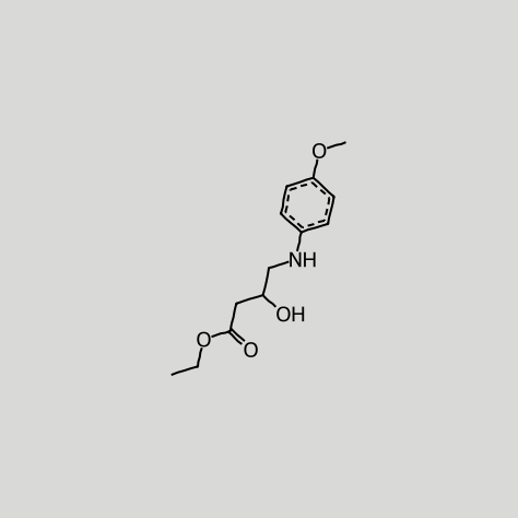 CCOC(=O)CC(O)CNc1ccc(OC)cc1